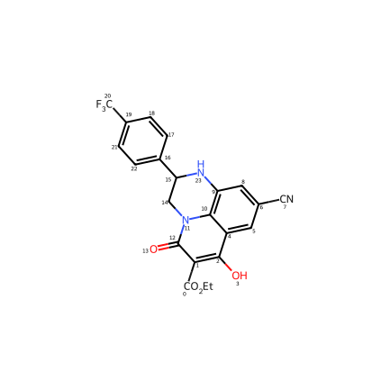 CCOC(=O)c1c(O)c2cc(C#N)cc3c2n(c1=O)CC(c1ccc(C(F)(F)F)cc1)N3